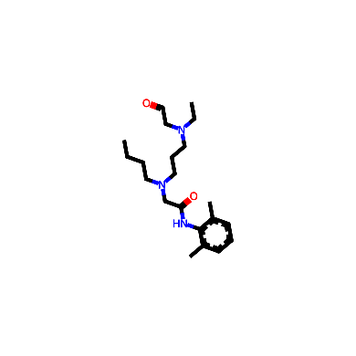 CCCCN(CCCN(CC)CC=O)CC(=O)Nc1c(C)cccc1C